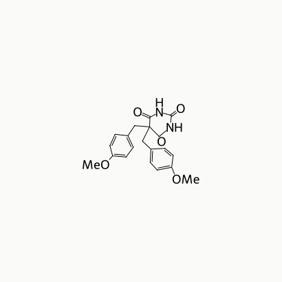 COc1ccc(CC2(Cc3ccc(OC)cc3)C(=O)NC(=O)NC2=O)cc1